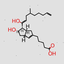 C=CCCCC(C)CC=C(O)[C@H]1[C@@H]2CC(CCCCC(=O)O)=C[C@@H]2C[C@@H]1O